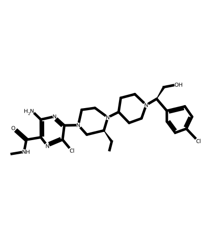 CC[C@H]1CN(c2nc(N)c(C(=O)NC)nc2Cl)CCN1C1CCN([C@@H](CO)c2ccc(Cl)cc2)CC1